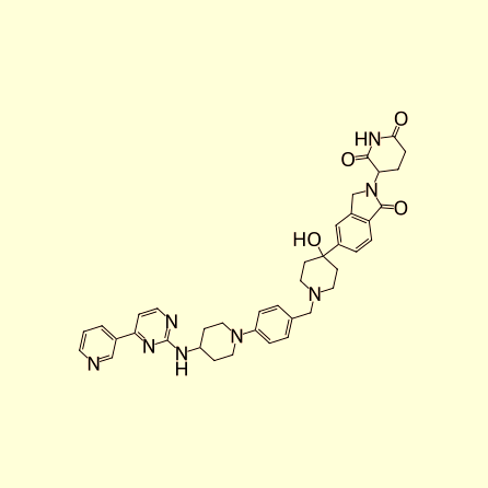 O=C1CCC(N2Cc3cc(C4(O)CCN(Cc5ccc(N6CCC(Nc7nccc(-c8cccnc8)n7)CC6)cc5)CC4)ccc3C2=O)C(=O)N1